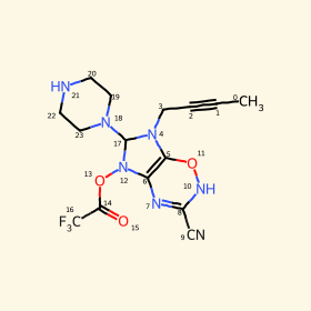 CC#CCN1C2=C(N=C(C#N)NO2)N(OC(=O)C(F)(F)F)C1N1CCNCC1